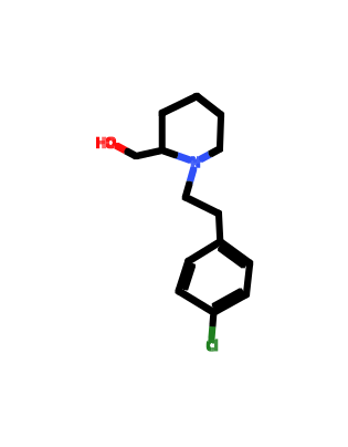 OCC1CCCCN1CCc1ccc(Cl)cc1